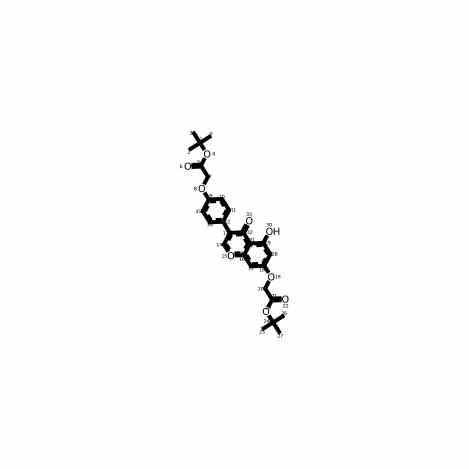 CC(C)(C)OC(=O)COc1ccc(-c2coc3cc(OCC(=O)OC(C)(C)C)cc(O)c3c2=O)cc1